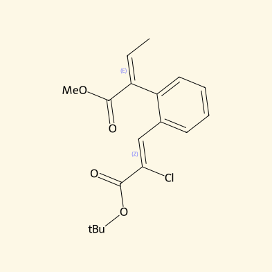 C/C=C(/C(=O)OC)c1ccccc1/C=C(\Cl)C(=O)OC(C)(C)C